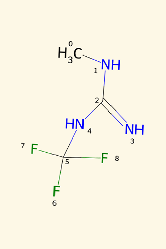 CNC(=N)NC(F)(F)F